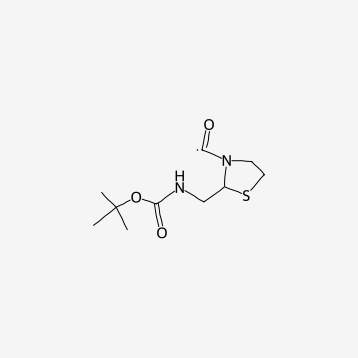 CC(C)(C)OC(=O)NCC1SCCN1[C]=O